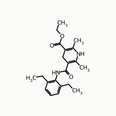 CCOC(=O)C1=C(C)NC(C)=C(C(=O)Nc2c(CC)cccc2CC)C1